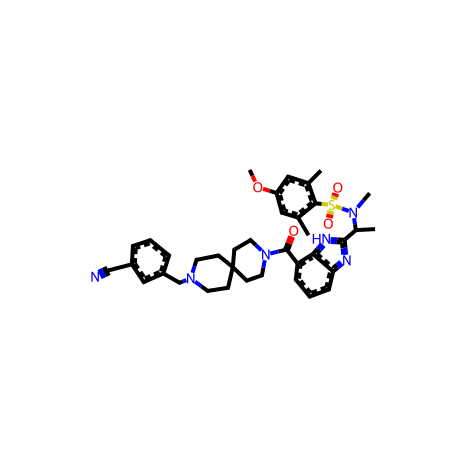 COc1cc(C)c(S(=O)(=O)N(C)C(C)c2nc3cccc(C(=O)N4CCC5(CCN(Cc6cccc(C#N)c6)CC5)CC4)c3[nH]2)c(C)c1